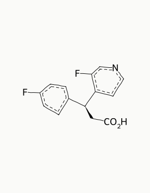 O=C(O)C[C@@H](c1ccc(F)cc1)c1ccncc1F